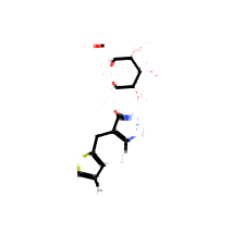 CCc1[nH]nc(O[C@@H]2O[C@H](CO)[C@@H](O)[C@H](O)[C@H]2O)c1Cc1cc(C)cs1